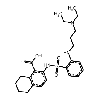 CCN(CC)CCCNc1ccccc1S(=O)(=O)Nc1ccc2c(c1C(=O)O)CCCC2